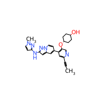 CC#Cc1cc(-c2ccn3nc(Nc4ccn(C)n4)cc3c2)c(O[C@H]2CC[C@H](O)CC2)cn1